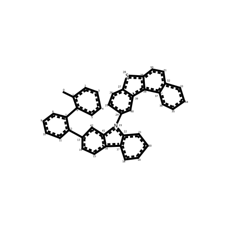 Cc1ccccc1-c1ccccc1-c1ccc2c3ccccc3n(-c3ccc4sc5ccc6ccccc6c5c4c3)c2c1